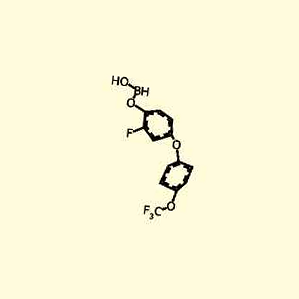 OBOc1ccc(Oc2ccc(OC(F)(F)F)cc2)cc1F